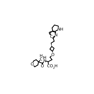 CC1(C(=O)NC(CCO[C@H]2C[C@H](CCc3ccc4c(n3)NCCC4)C2)C(=O)O)CCOCC1